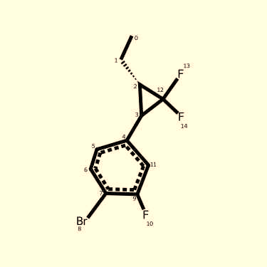 CC[C@H]1C(c2ccc(Br)c(F)c2)C1(F)F